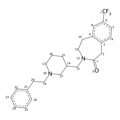 O=C1Cc2ccc(C(F)(F)F)cc2CCN1CC1CCCN(CCc2ccccc2)C1